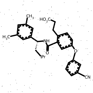 Cc1cc(C)cc([C@@H](CC(C)C)NC(=O)c2cc(Oc3cccc(C#N)c3)ccc2CCC(=O)O)c1